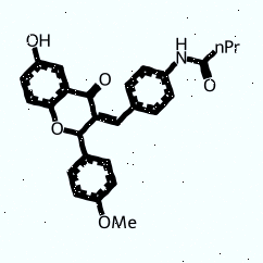 CCCC(=O)Nc1ccc(C=C2C(=O)c3cc(O)ccc3OC2c2ccc(OC)cc2)cc1